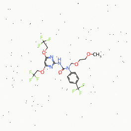 COCCOCN(C(=O)Nc1nc(OCC(F)(F)F)cc(OCC(F)(F)F)n1)c1ccc(C(F)(F)F)cc1